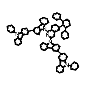 c1ccc(-c2cccc(-c3ccccc3)c2-c2ccc3c(-n4c5ccccc5c5cc(-c6ccc7c(c6)c6ccccc6n7-c6ccccc6)ccc54)nc(-n4c5ccccc5c5cc(-c6ccc7c(c6)c6ccccc6n7-c6ccccc6)ccc54)cc3c2)cc1